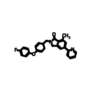 Cc1cc(-c2ccccn2)cc2c1C(=O)N(CC1C=CC(Oc3ccc(F)cc3)=CC1)C2